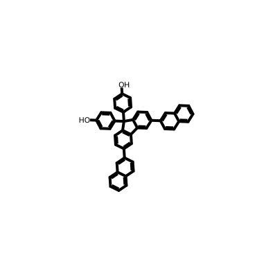 Oc1ccc(C2(c3ccc(O)cc3)c3ccc(-c4ccc5ccccc5c4)cc3-c3cc(-c4ccc5ccccc5c4)ccc32)cc1